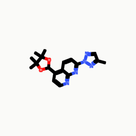 Cc1cnn(-c2ccc3c(C4OC(C)(C)C(C)(C)O4)ccnc3n2)n1